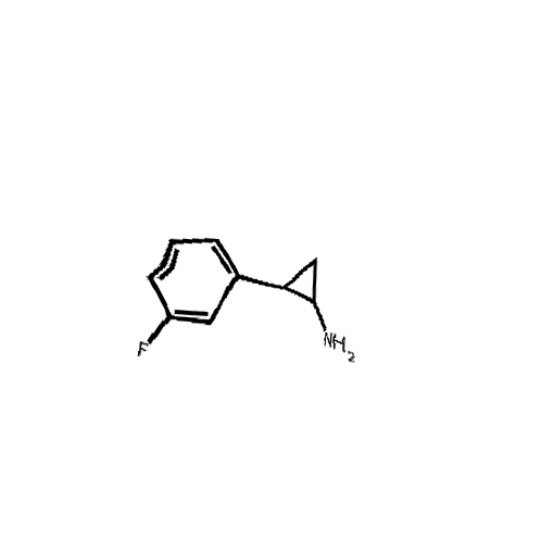 NC1CC1c1cccc(F)c1